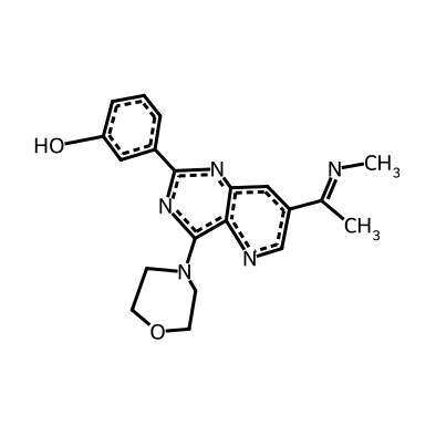 CN=C(C)c1cnc2c(N3CCOCC3)nc(-c3cccc(O)c3)nc2c1